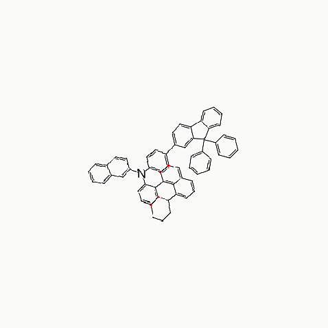 c1ccc(C2(c3ccccc3)c3ccccc3-c3ccc(-c4ccc(N(c5ccc6ccccc6c5)c5ccccc5-c5cccc6cccc(C7CCCCC7)c56)cc4)cc32)cc1